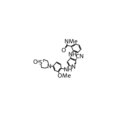 CNC(=O)c1ccccc1Nc1cc(Nc2ccc(N3CC[S+]([O-])CC3)cc2OC)ncc1C#N